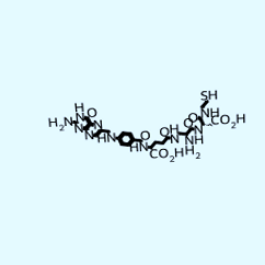 Nc1nc2ncc(CNc3ccc(C(=O)N[C@H](CCC(=O)NC[C@H](N)C(=O)N[C@@H](CC(=O)O)C(=O)NCCS)C(=O)O)cc3)nc2c(=O)[nH]1